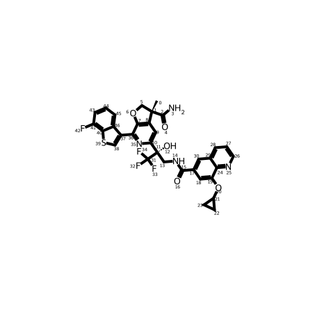 C[C@]1(C(N)=O)COc2c1cc([C@@](O)(CNC(=O)c1cc(OC3CC3)c3ncccc3c1)C(F)(F)F)nc2-c1csc2c(F)cccc12